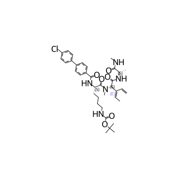 C=C/C(=C\C)[C@@H](C(=O)N[C@@H](C)C(=O)NC)N(C)C(=O)[C@H](CCCCNC(=O)OC(C)(C)C)NC(=O)c1ccc(-c2ccc(Cl)cc2)cc1